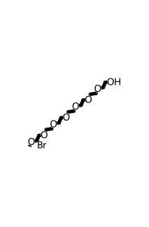 COC(Br)COCCOCCOCCOCCOCCOCCO